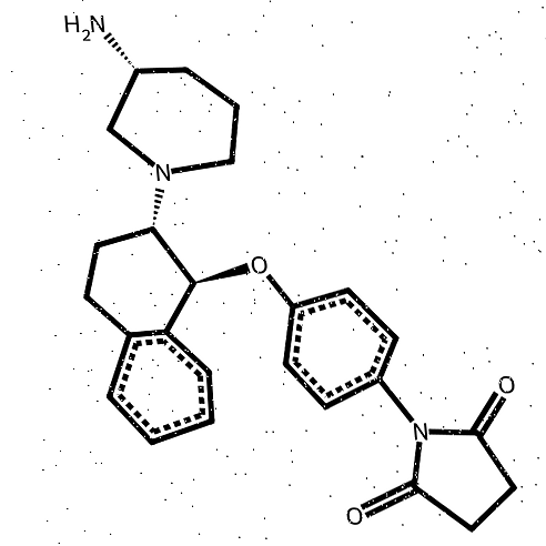 N[C@@H]1CCCN([C@H]2CCc3ccccc3[C@@H]2Oc2ccc(N3C(=O)CCC3=O)cc2)C1